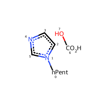 CCCCCn1ccnc1.O=C(O)O